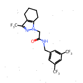 O=C(Cn1nc(C(F)(F)F)c2c1CCCC2)NCc1cc(C(F)(F)F)cc(C(F)(F)F)c1